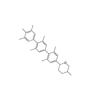 Cc1cc(-c2c(C)cc(-c3c(C)cc(C4CCC(C)CO4)cc3C)cc2C)cc(C)c1C